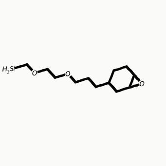 [SiH3]COCCOCCCC1CCC2OC2C1